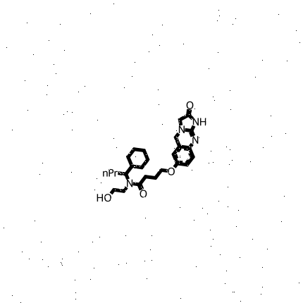 CCCC(C1CCCCC1)N(CCO)C(=O)CCCOc1ccc2c(c1)CN1CC(=O)NC1=N2